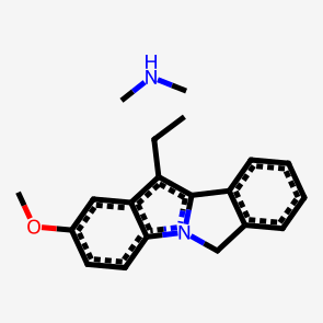 CCc1c2n(c3ccc(OC)cc13)Cc1ccccc1-2.CNC